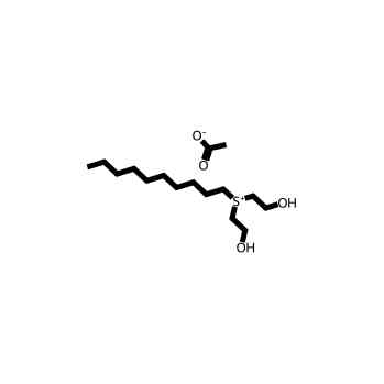 CC(=O)[O-].CCCCCCCCCC[S+](CCO)CCO